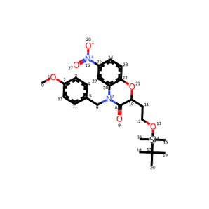 COc1ccc(CN2C(=O)C(CCO[Si](C)(C)C(C)(C)C)Oc3ccc([N+](=O)[O-])cc32)cc1